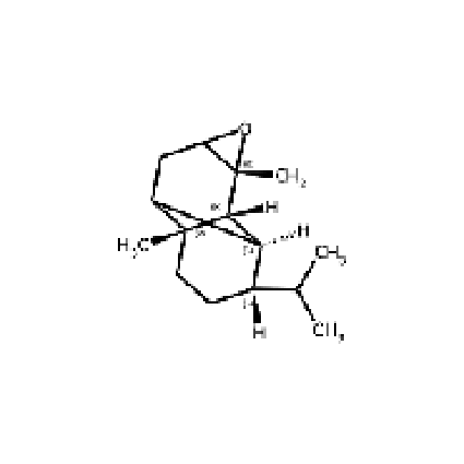 CC(C)[C@@H]1CC[C@]2(C)C3CC4O[C@]4(C)[C@@H]2[C@H]31